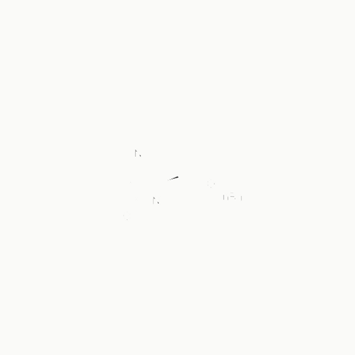 CCCCOCC[C@H]1NC(=O)c2cc[nH]c21